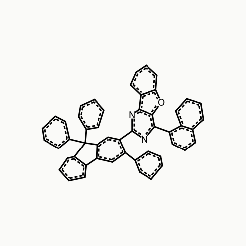 c1ccc(-c2cc3c(cc2-c2nc(-c4cccc5ccccc45)c4oc5ccccc5c4n2)C(c2ccccc2)(c2ccccc2)c2ccccc2-3)cc1